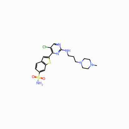 CN1CCN(CCCNc2ncc(Cl)c(-c3cc4ccc(S(N)(=O)=O)cc4s3)n2)CC1